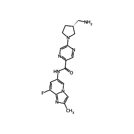 Cc1cn2cc(NC(=O)c3cnc(N4CC[C@H](CN)C4)cn3)cc(F)c2n1